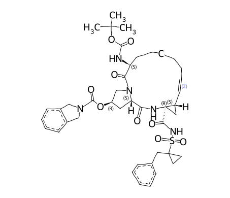 CC(C)(C)OC(=O)N[C@H]1CCCCC/C=C\[C@@H]2C[C@@]2(C(=O)NS(=O)(=O)C2(Cc3ccccc3)CC2)NC(=O)[C@@H]2C[C@@H](OC(=O)N3Cc4ccccc4C3)CN2C1=O